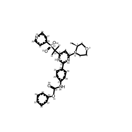 C[C@H]1COCCN1c1cc(C(C)(C)S(=O)(=O)c2ccncc2)nc(-c2ccc(NC(=O)Oc3ccccc3)cc2)n1